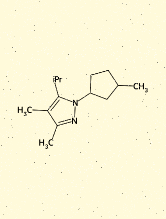 Cc1nn(C2CCC(C)C2)c(C(C)C)c1C